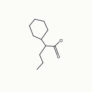 CCCC(C(=O)Cl)C1CCCCC1